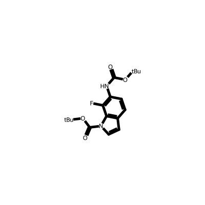 CC(C)(C)OC(=O)Nc1ccc2ccn(C(=O)OC(C)(C)C)c2c1F